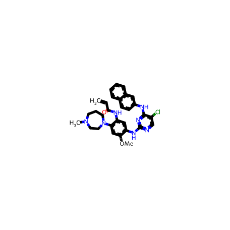 C=CC(=O)Nc1cc(Nc2ncc(Cl)c(Nc3ccc4ccccc4c3)n2)c(OC)cc1N1CCCN(C)CC1